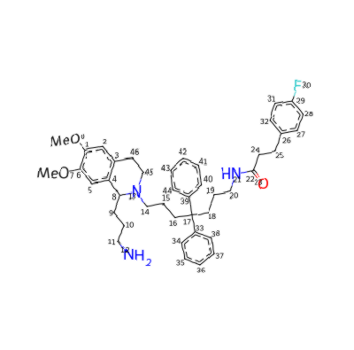 COc1cc2c(cc1OC)C(CCCN)N(CCCC(CCCNC(=O)CCc1ccc(F)cc1)(c1ccccc1)c1ccccc1)CC2